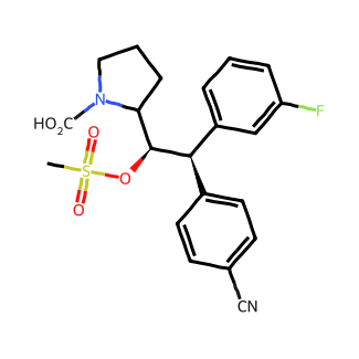 CS(=O)(=O)O[C@@H](C1CCCN1C(=O)O)[C@H](c1ccc(C#N)cc1)c1cccc(F)c1